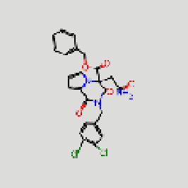 NC(=O)CC1(C(=O)OCc2ccccc2)C(=O)N(Cc2ccc(Cl)c(Cl)c2)C(=O)c2cccn21